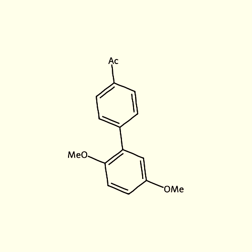 COc1ccc(OC)c(-c2ccc(C(C)=O)cc2)c1